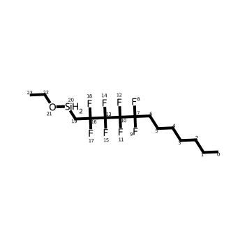 CCCCCCCC(F)(F)C(F)(F)C(F)(F)C(F)(F)C[SiH2]OCC